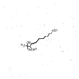 CCCCCCCCCCCCCCCCC(O)C(C)(O)O